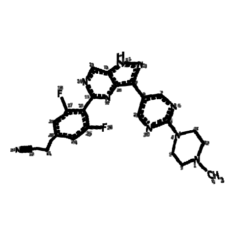 CN1CCN(c2ncc(-c3n[nH]c4cnc(-c5c(F)cc(CC#N)cc5F)nc34)cn2)CC1